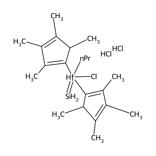 CC[CH2][Hf](=[SiH2])([Cl])([C]1=C(C)C(C)=C(C)C1C)[C]1=C(C)C(C)=C(C)C1C.Cl.Cl